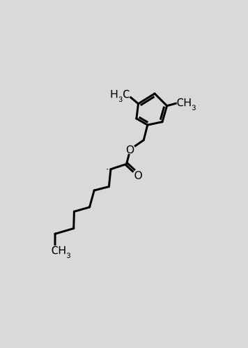 CCCCCCC[CH]C(=O)OCc1cc(C)cc(C)c1